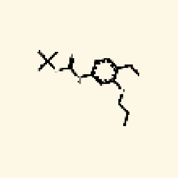 CCCOc1cc(NC(=O)OC(C)(C)C)ccc1CC